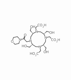 O=C(O)CN1C[C@@H](CO)N(CC(=O)O)C[C@@H](CO)N(CC(=O)N2CCOCC2)C[C@@H](CO)N(CC(=O)O)C[C@H]1CO